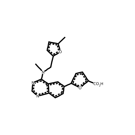 Cc1ccc(CN(C)c2ncnc3ccc(-c4ccc(C(=O)O)o4)cc23)o1